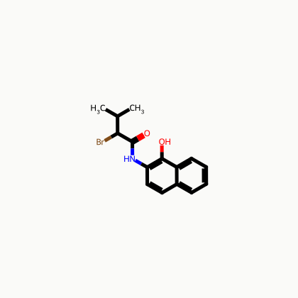 CC(C)C(Br)C(=O)Nc1ccc2ccccc2c1O